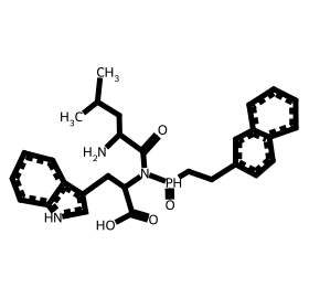 CC(C)CC(N)C(=O)N(C(Cc1c[nH]c2ccccc12)C(=O)O)[PH](=O)CCc1ccc2ccccc2c1